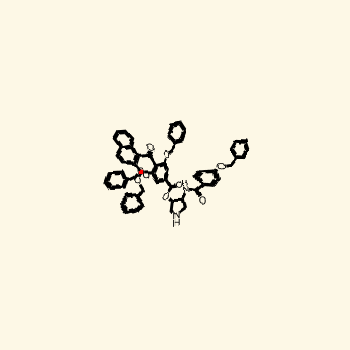 O=C(NC1CNCC1OC(=O)c1cc(OCc2ccccc2)c(C(=O)c2c(C(=O)OCc3ccccc3)ccc3ccccc23)c(OCc2ccccc2)c1)c1ccc(OCc2ccccc2)cc1